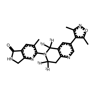 [2H]C1([2H])Cc2ncc(-c3c(C)noc3C)cc2C([2H])([2H])N1c1nc2c(cc1C)C(=O)NC2